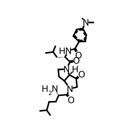 CC(C)CC[C@H](N)C(=O)N1CC(=O)[C@@H]2C1CCN2C(=O)[C@H](CC(C)C)NC(=O)c1ccc(N(C)C)cc1